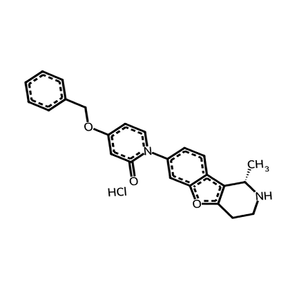 C[C@@H]1NCCc2oc3cc(-n4ccc(OCc5ccccc5)cc4=O)ccc3c21.Cl